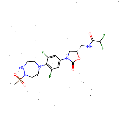 CS(=O)(=O)N1CCN(c2c(F)cc(N3C[C@H](CNC(=O)C(F)F)OC3=O)cc2F)CCN1